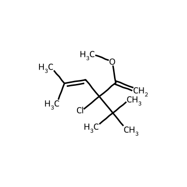 C=C(OC)C(Cl)(C=C(C)C)C(C)(C)C